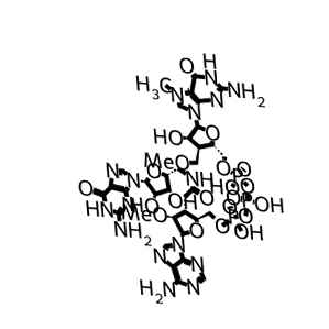 COC[C@@H]1[C@@H](COP(=O)(O)OP(=O)(O)OP(=O)(O)OC[C@H]2O[C@@H](n3cnc4c(N)ncnc43)[C@H](OC)[C@@H]2CC(=O)NC[C@H]2O[C@@H](n3cnc4c(=O)[nH]c(N)nc43)[C@H](O)[C@@H]2O)OC(n2c[n+](C)c3c(=O)[nH]c(N)nc32)[C@@H]1O